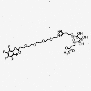 NS(=O)(=O)CC[C@H]1O[C@H](OCCc2cn(CCOCCOCCOCCOCCC(=O)Oc3c(F)c(F)c(F)c(F)c3F)nn2)[C@@H](O)[C@@H](O)[C@@H]1O